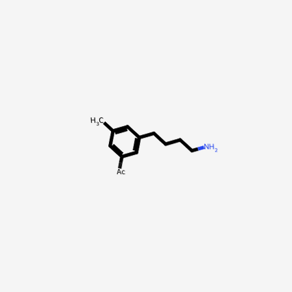 CC(=O)c1cc(C)cc(CCCCN)c1